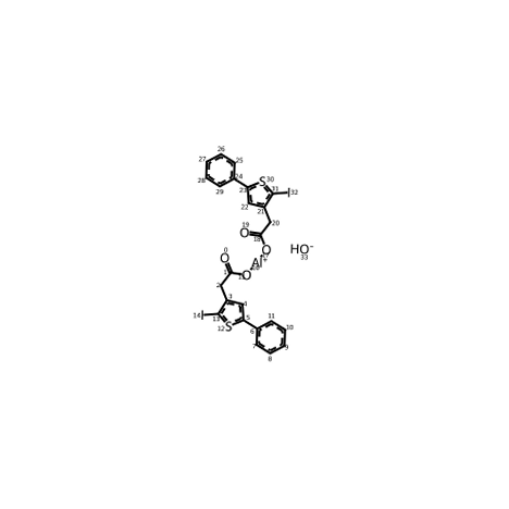 O=C(Cc1cc(-c2ccccc2)sc1I)[O][Al+][O]C(=O)Cc1cc(-c2ccccc2)sc1I.[OH-]